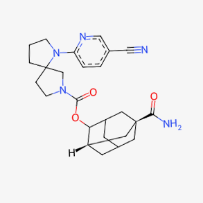 N#Cc1ccc(N2CCCC23CCN(C(=O)OC2C4CC5C[C@H]2C[C@@](C(N)=O)(C5)C4)C3)nc1